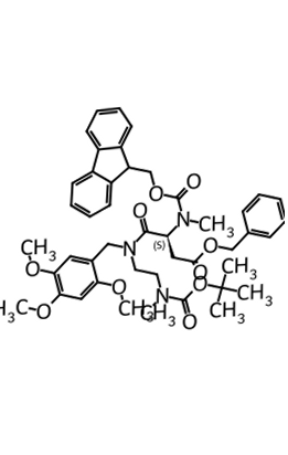 COc1cc(OC)c(OC)cc1CN(CCN(C)C(=O)OC(C)(C)C)C(=O)[C@H](CC(=O)OCc1ccccc1)N(C)C(=O)OCC1c2ccccc2-c2ccccc21